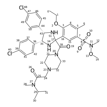 CCOc1cc(C)c(S(=O)(=O)N(C)OC)cc1C1(C(=O)N2CCN(CC(=O)N(C)C(C)C)CC2)N[C@H](c2ccc(Cl)cc2)[C@H](c2ccc(Cl)cc2)N1